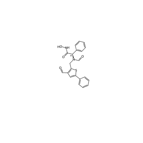 O=Cc1cc(-c2ccccc2)sc1CN(C=O)[C@@H](C(=O)NO)c1ccccc1